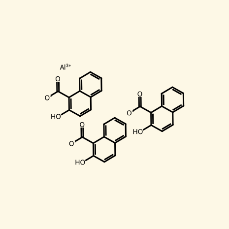 O=C([O-])c1c(O)ccc2ccccc12.O=C([O-])c1c(O)ccc2ccccc12.O=C([O-])c1c(O)ccc2ccccc12.[Al+3]